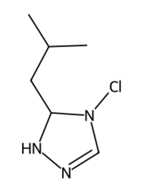 CC(C)CC1NN=CN1Cl